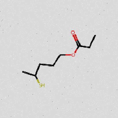 CCC(=O)OCCCC(C)S